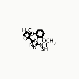 COc1cccc(OC)c1-n1c(NS)nnc1-c1ccco1